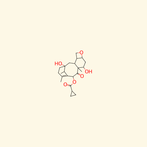 CC1=C2C(OC(=O)C3CC3)C(=O)C3(C)C(O)CC4OCC4C3CC(O)(CC1)C2C